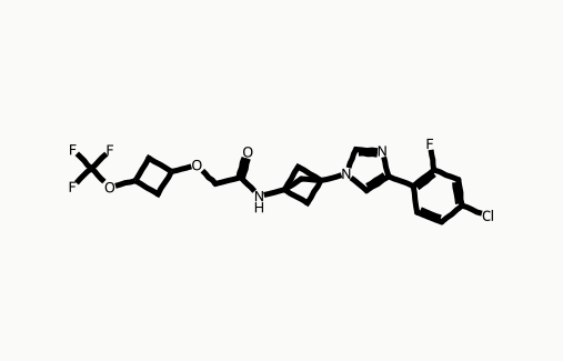 O=C(COC1CC(OC(F)(F)F)C1)NC12CC(n3cnc(-c4ccc(Cl)cc4F)c3)(C1)C2